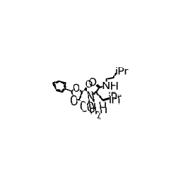 CC(C)CCNC(=O)C(CC(C)C)NC(=O)[C@@H]1OC(c2ccccc2)O[C@H]1C(=O)O